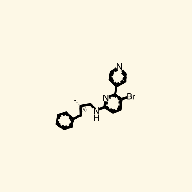 C[C@H](CNc1ccc(Br)c(-c2ccncc2)n1)Cc1ccccc1